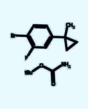 CC(C)(C)OC(N)=O.CC1(c2ccc(Br)c(F)c2)CC1